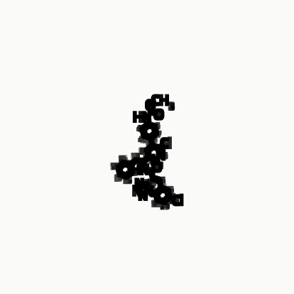 COC(=O)Nc1ccc(-c2cc(C(Cc3ccccc3)NC(=O)C=Cc3cc(Cl)ccc3-n3cnnn3)nnc2Cl)cc1